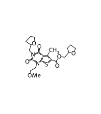 COCCn1c(=O)n(CC2CCCO2)c(=O)c2c(C)c(C(=O)OCC3CCCO3)sc21